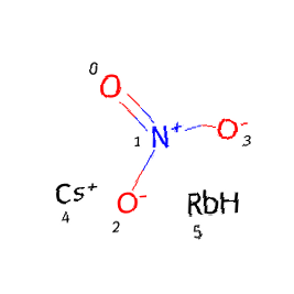 O=[N+]([O-])[O-].[Cs+].[RbH]